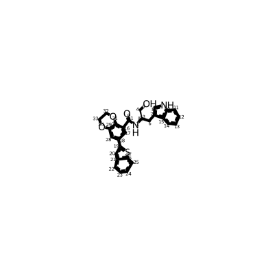 O=C(N[C@@H](CO)Cc1c[nH]c2ccccc12)c1cc(-c2cc3ccccc3s2)cc2c1OCCO2